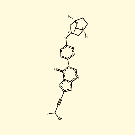 CC(O)C#Cc1cc2ncn(-c3ccc(O[C@H]4C[C@H]5CC[C@@H](C4)N5C)cc3)c(=O)c2s1